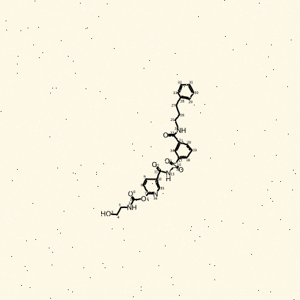 O=C(NCCO)Oc1ccc(C(=O)NS(=O)(=O)c2cccc(C(=O)NCCCc3ccccc3)c2)cn1